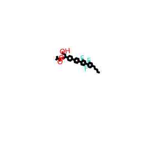 C=C(C)C(=O)OCC(CCO)C1CCC(c2ccc(-c3ccc(-c4c(F)cc(CCCCC)cc4F)cc3F)cc2)CC1